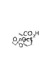 C=CC(=O)O.CCCCCCCCC1(Oc2ccccc2)CCO1